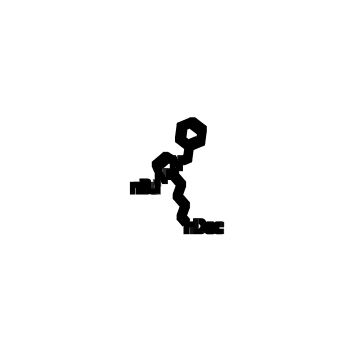 CCCCCCCCCCCCCCc1n(Cc2ccccc2)cc[n+]1CCCC